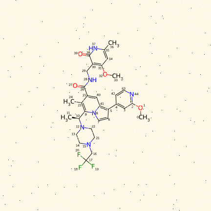 COc1cc(-c2ccn3c([C@H](C)N4CCN(CC(F)(F)F)CC4)c(C)c(C(=O)NCc4c(OC)cc(C)[nH]c4=O)cc23)ccn1